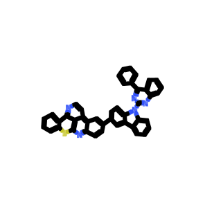 c1ccc(-c2nc(-n3c4ccccc4c4cc(-c5ccc6nc7c8c(nccc8c6c5)-c5ccccc5S7)ccc43)nc3ccccc23)cc1